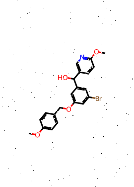 COc1ccc(COc2cc(Br)cc(C(O)c3ccc(OC)nc3)c2)cc1